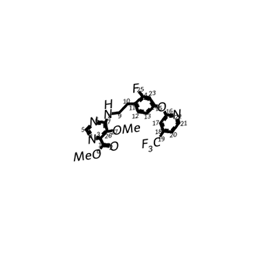 COC(=O)c1ncnc(NCCc2ccc(Oc3cc(C(F)(F)F)ccn3)cc2F)c1OC